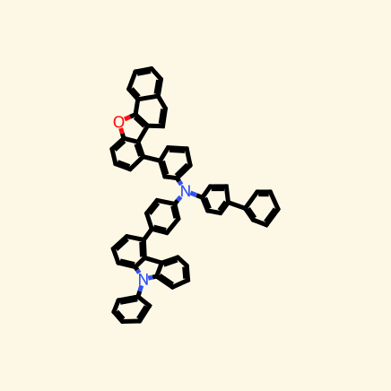 c1ccc(-c2ccc(N(c3ccc(-c4cccc5c4c4ccccc4n5-c4ccccc4)cc3)c3cccc(-c4cccc5oc6c7ccccc7ccc6c45)c3)cc2)cc1